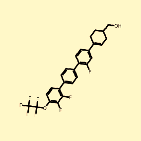 OCC1CC=C(c2ccc(-c3ccc(-c4ccc(OC(F)(F)C(F)(F)F)c(F)c4F)cc3)c(F)c2)CC1